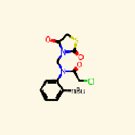 CCCCc1ccccc1N(CN1C(=O)CSC1=O)C(=O)CCl